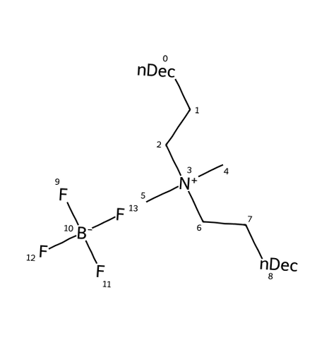 CCCCCCCCCCCC[N+](C)(C)CCCCCCCCCCCC.F[B-](F)(F)F